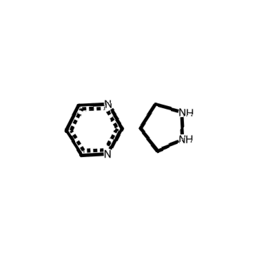 C1CNNC1.c1cncnc1